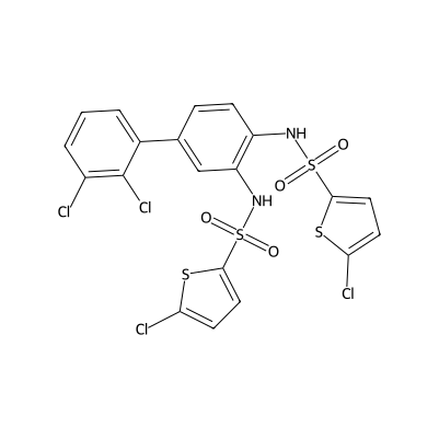 O=S(=O)(Nc1ccc(-c2cccc(Cl)c2Cl)cc1NS(=O)(=O)c1ccc(Cl)s1)c1ccc(Cl)s1